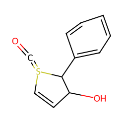 O=C=S1C=CC(O)C1c1ccccc1